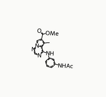 COC(=O)c1cn2ncnc(Nc3cccc(NC(C)=O)c3)c2c1C